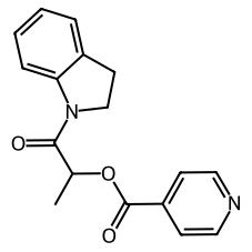 CC(OC(=O)c1ccncc1)C(=O)N1CCc2ccccc21